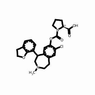 CN1CCc2cc(Cl)c(OC(=O)N3CCC[C@H]3C(=O)O)cc2C(c2cccc3c2OCC3)C1